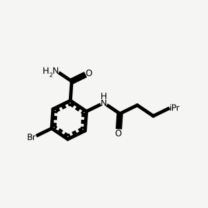 CC(C)CCC(=O)Nc1ccc(Br)cc1C(N)=O